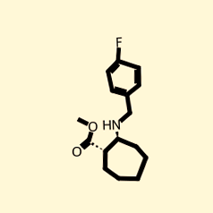 COC(=O)[C@H]1CCCCC[C@H]1NCc1ccc(F)cc1